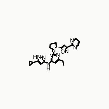 CCc1cc(Nc2cc(C3CC3)[nH]n2)nc(N2CCC[C@H]2c2cc(-c3ncccn3)no2)n1